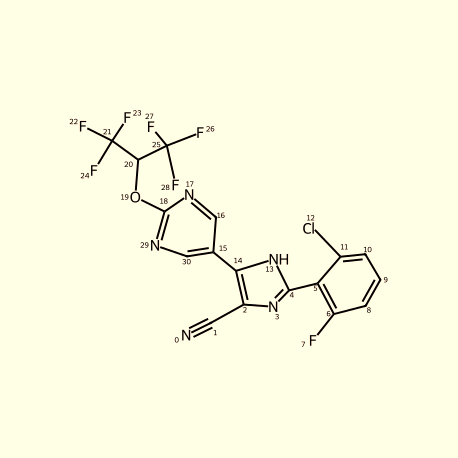 N#Cc1nc(-c2c(F)cccc2Cl)[nH]c1-c1cnc(OC(C(F)(F)F)C(F)(F)F)nc1